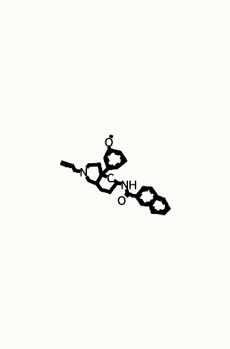 C=CCN1CCC2(c3cccc(OC)c3)CC(NC(=O)c3ccc4ccccc4c3)CCC2C1